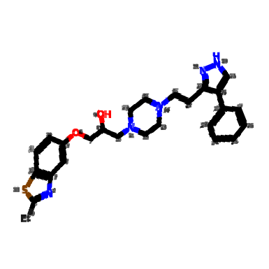 CCc1nc2cc(OCC(O)CN3CCN(CCc4n[nH]cc4-c4ccccc4)CC3)ccc2s1